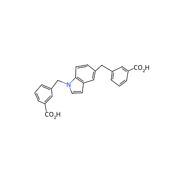 O=C(O)c1cccc(Cc2ccc3c(ccn3Cc3cccc(C(=O)O)c3)c2)c1